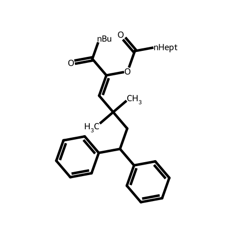 CCCCCCCC(=O)OC(=CC(C)(C)CC(c1ccccc1)c1ccccc1)C(=O)CCCC